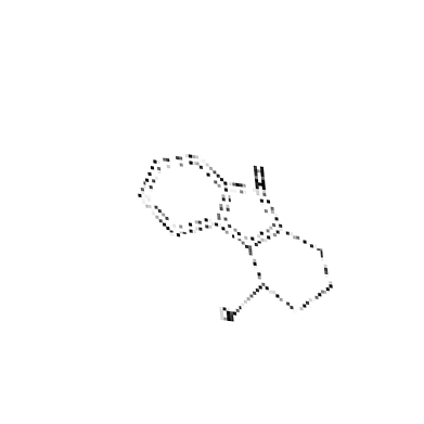 BrC1CCCc2[nH]c3ccccc3c21